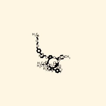 COCCOCCOCC1CCC(c2nccc(COc3ccc4cc3C[C@H](C(=O)OC(C)(C)C)Oc3ncnc5sc(-c6ccc(F)cc6)c(c35)-c3c(C)c(Cl)c(c(Cl)c3C)O[C@H](CN3CCN(C)CC3)CO4)n2)CC1